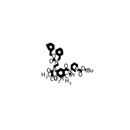 Cc1cc2c(cc1C(=O)N(C(C)C)[C@@H]1CCCN(C(=O)OC(C)(C)C)C1)N(CCN(Cc1ccccc1)C(=O)OCc1ccccc1)C(=O)C(C)(C(=O)O)O2